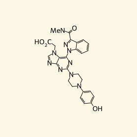 CNC(=O)c1nn(-c2nc(N3CCN(c4ccc(O)cc4)CC3)nc3ncn(CC(=O)O)c23)c2ccccc12